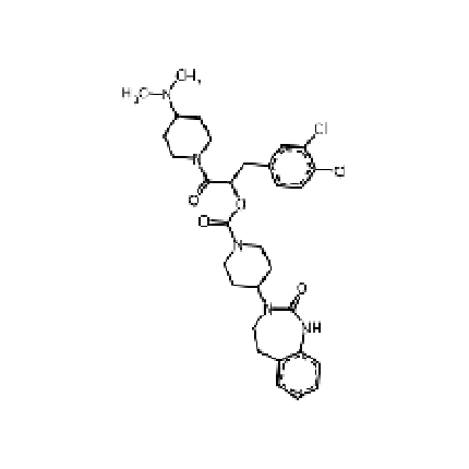 CN(C)C1CCN(C(=O)C(Cc2ccc(Cl)c(Cl)c2)OC(=O)N2CCC(N3CCc4ccccc4NC3=O)CC2)CC1